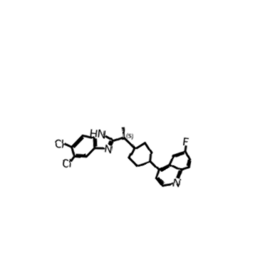 C[C@H](c1nc2cc(Cl)c(Cl)cc2[nH]1)C1CCC(c2ccnc3ccc(F)cc23)CC1